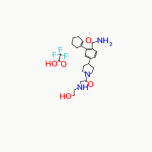 NC(=O)c1ccc(C2CCN(C(=O)CNCCO)CC2)cc1C1=CCCCC1.O=C(O)C(F)(F)F